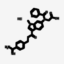 Cl.Cn1cc(C(=O)CCc2ccc(C(=N)N)cc2)c2ccc(N(CC(=O)O)C(=O)c3cccnc3)cc21